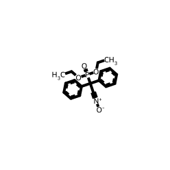 CCOP(=O)(OCC)C(C#[N+][O-])(c1ccccc1)c1ccccc1